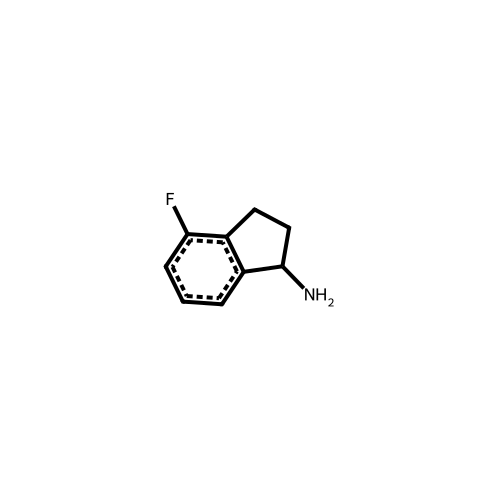 NC1CCc2c(F)cccc21